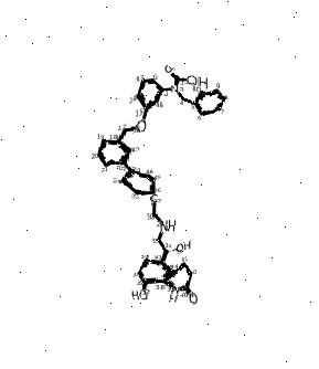 O=C(O)N(Cc1ccccc1)c1cccc(OCc2cccc(-c3ccc(CCNC[C@H](O)c4ccc(O)c5[nH]c(=O)ccc45)cc3)c2)c1